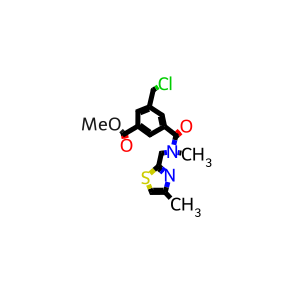 COC(=O)c1cc(CCl)cc(C(=O)N(C)Cc2nc(C)cs2)c1